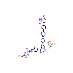 Cc1cc(-c2ncnn3cc(-c4ccc(N5CCC(c6ccc(C7CCC(=O)NC7=O)cc6)CC5)cc4)cc23)ccc1CNC(=O)c1noc(C(C)(C)C)n1.O=C(O)C(F)(F)F